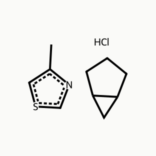 C1CC2CC2C1.Cc1cscn1.Cl